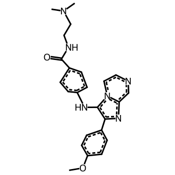 COc1ccc(-c2nc3cnccn3c2Nc2ccc(C(=O)NCCN(C)C)cc2)cc1